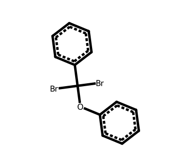 BrC(Br)(Oc1ccccc1)c1ccccc1